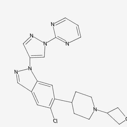 Clc1cc2cnn(-c3cnn(-c4ncccn4)c3)c2cc1C1CCN(C2COC2)CC1